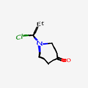 [CH2]CC(Cl)N1CCC(=O)C1